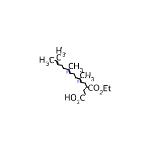 CCOC(=O)C(C/C=C(\C)CC/C=C(\C)CCC=C(C)C)CCC(=O)O